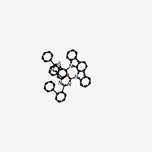 c1ccc(-c2nc(-c3ccccc3-c3ccccc3)nc(-n3c4ccccc4c4ccc5c6ccccc6n(-c6cccc7nc(-c8ccccc8)sc67)c5c43)n2)cc1